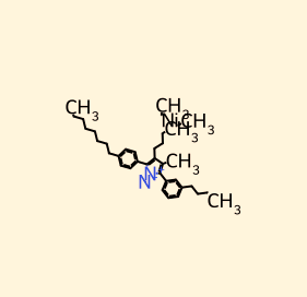 CCCCCCCCc1ccc(C2=C(CCCC)C(C)=C(c3cccc(CCCC)c3)[N+]2=[N-])cc1.C[CH2][Ni][CH2]C